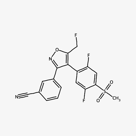 CS(=O)(=O)c1cc(F)c(-c2c(-c3cccc(C#N)c3)noc2CF)cc1F